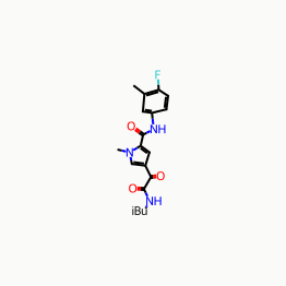 CCC(C)NC(=O)C(=O)c1cc(C(=O)Nc2ccc(F)c(C)c2)n(C)c1